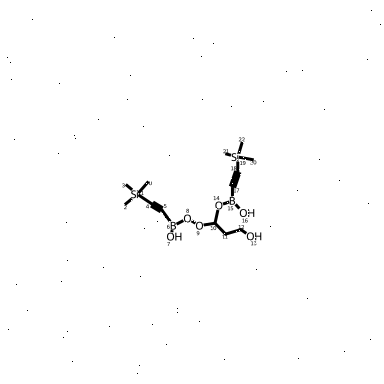 C[Si](C)(C)C#CB(O)OOC(CCO)OB(O)C#C[Si](C)(C)C